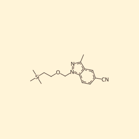 Cc1nn(COCC[Si](C)(C)C)c2ccc(C#N)cc12